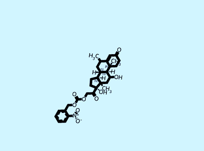 CC1C[C@@H]2[C@H](C(O)C[C@@]3(C)[C@H]2CC[C@]3(O)C(=O)COC(=O)OCc2ccccc2[N+](=O)[O-])[C@@]2(C)CCC(=O)C=C12